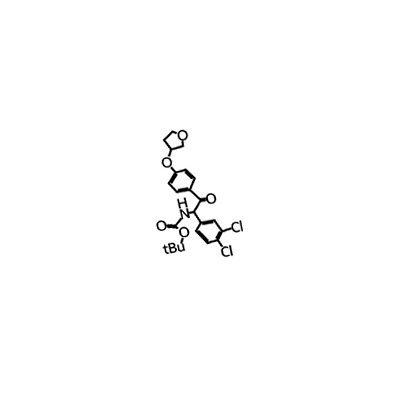 CC(C)(C)OC(=O)NC(C(=O)c1ccc(OC2CCOC2)cc1)c1ccc(Cl)c(Cl)c1